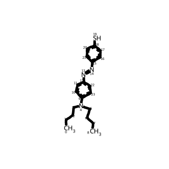 CCCCN(CCCC)c1ccc(/N=N/c2ccc(S)cc2)cc1